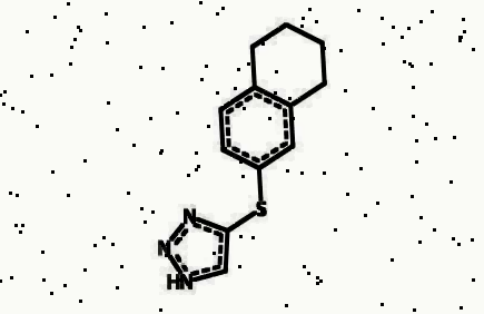 c1cc2c(cc1Sc1c[nH]nn1)CCCC2